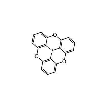 c1cc2c3c(c1)Oc1cccc4c1P3c1c(cccc1O4)O2